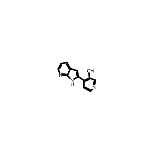 Oc1cnccc1-c1cc2cccnc2[nH]1